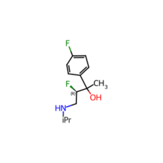 CC(C)NC[C@@H](F)C(C)(O)c1ccc(F)cc1